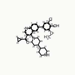 COc1cc(-c2ccc3ncc(C(=O)C4CC4)c(N4CCC(C5CCNCC5)CC4)c3c2)cc(Cl)c1O